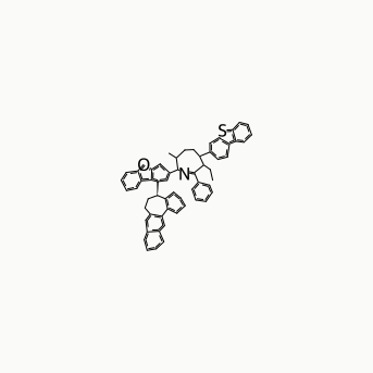 CCC1/C(c2ccccc2)=N\C(c2cc([C@@H]3CCc4cc5ccccc5cc4-c4ccccc43)c3c(c2)oc2ccccc23)C(C)CCC1c1ccc2c(c1)sc1ccccc12